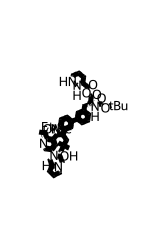 CCn1c(-c2cc(N3CCN4CCC[C@@H]4C3)cnc2[C@H](C)OC)c(CC(C)(C)CO)c2cc(-c3cccc(C[C@H](NC(=O)OC(C)(C)C)C(=O)OC(=O)C4CCCNN4)c3)ccc21